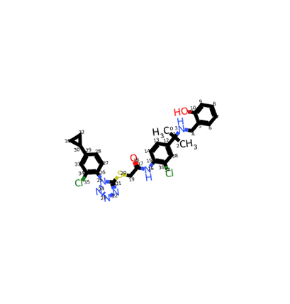 CC(C)(NCc1ccccc1O)c1ccc(NC(=O)CSc2nnnn2-c2ccc(C3CC3)cc2Cl)c(Cl)c1